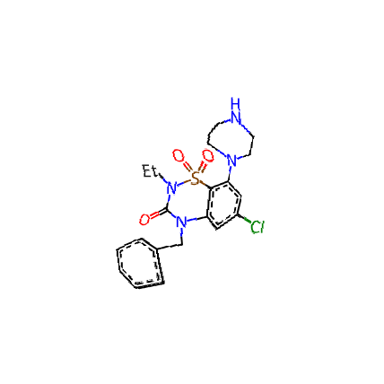 CCN1C(=O)N(Cc2ccccc2)c2cc(Cl)cc(N3CCNCC3)c2S1(=O)=O